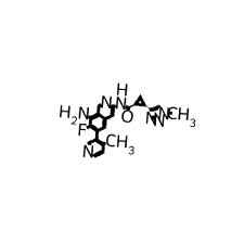 Cc1ccncc1-c1cc2cc(NC(=O)[C@H]3C[C@@H]3c3cn(C)nn3)ncc2c(N)c1F